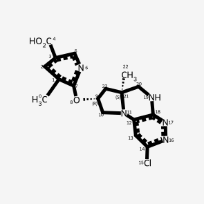 Cc1cc(C(=O)O)cnc1O[C@H]1CN2c3cc(Cl)nnc3NC[C@]2(C)C1